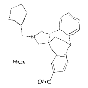 Cl.O=Cc1ccc2c(c1)C13CC2c2ccccc2C1CN(CC1CCCC1)C3